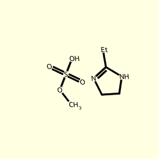 CCC1=NCCN1.COS(=O)(=O)O